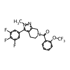 Cn1nc2c(c1-c1cc(F)c(F)c(F)c1)CCN(C(=O)c1ccccc1OC(F)(F)F)C2